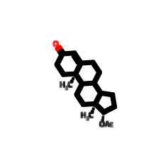 CC(=O)O[C@H]1CCC2C3CCC4=CC(=O)CC[C@]4(C)C3CC[C@@]21C